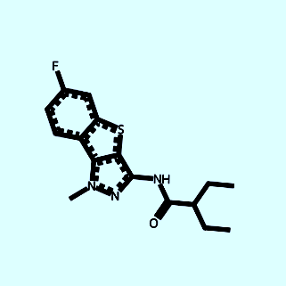 CCC(CC)C(=O)Nc1nn(C)c2c1sc1cc(F)ccc12